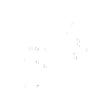 Cn1nc(C(F)(F)F)cc1C1(O)CC2CC(c3nc(-c4ccc(F)c(Cl)c4)n(C)c3C(N)=O)CC2C1